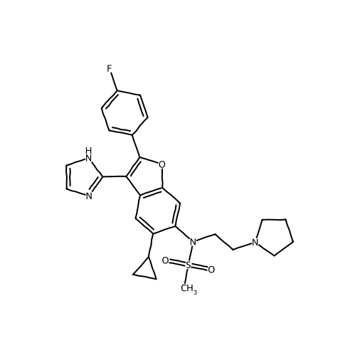 CS(=O)(=O)N(CCN1CCCC1)c1cc2oc(-c3ccc(F)cc3)c(-c3ncc[nH]3)c2cc1C1CC1